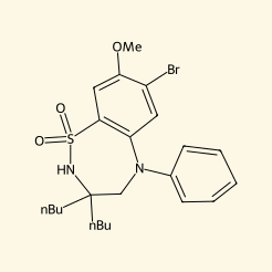 CCCCC1(CCCC)CN(c2ccccc2)c2cc(Br)c(OC)cc2S(=O)(=O)N1